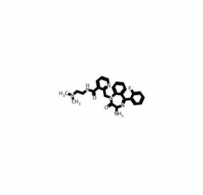 CN(C)CCNC(=O)c1cccnc1CN1C(=O)C(N)N=C(c2ccccc2F)c2ccccc21